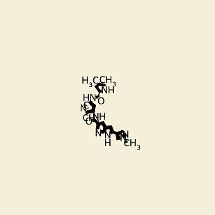 Cc1ncc(NC(=O)[C@H]2CC(C)(C)CN2)cc1NC(=O)c1cnc2[nH]c(-c3cnn(C)c3)cc2c1